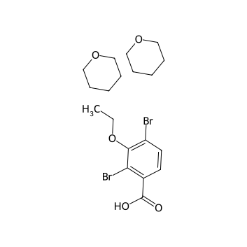 C1CCOCC1.C1CCOCC1.CCOc1c(Br)ccc(C(=O)O)c1Br